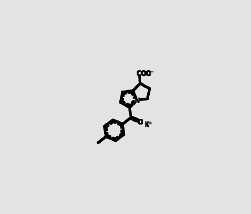 Cc1ccc(C(=O)c2ccc3n2CCC3C(=O)[O-])cc1.[K+]